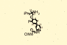 COC(=O)Nc1cc(-c2ccc(OCC(C)(N)CC(C)C)c(F)c2)ccn1